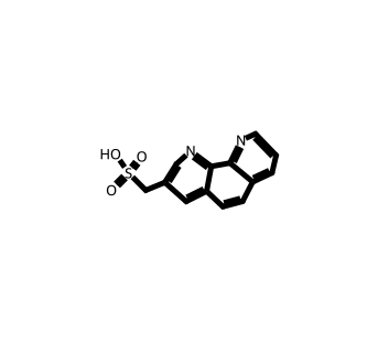 O=S(=O)(O)Cc1cnc2c(ccc3cccnc32)c1